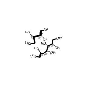 OC[C@@H](O)[C@@H](O)CO.OC[C@@H](O)[C@@H](O)[C@H](O)[C@H](O)CO